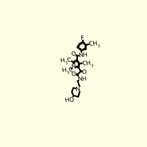 Cc1cc(NC(=O)c2c(C)c(C(=O)C(=O)NCCN3CCC(O)CC3)n(C)c2C)ccc1F